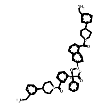 NCc1cccc(C2CCN(C(=O)c3cccc([C@@]4(c5ccccc5)OB(c5ccc6c(C(=O)N7CCC(c8cccc(CN)c8)CC7)cccc6c5)OC4=O)c3)CC2)c1